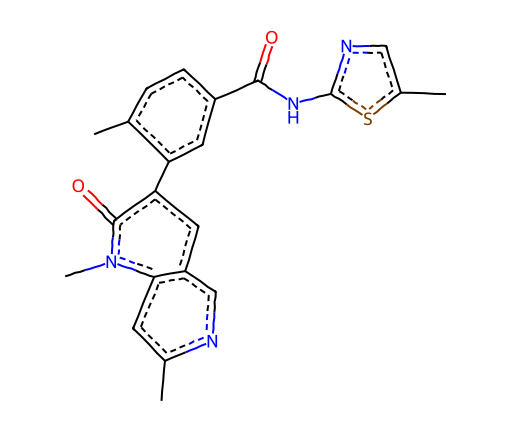 Cc1cc2c(cn1)cc(-c1cc(C(=O)Nc3ncc(C)s3)ccc1C)c(=O)n2C